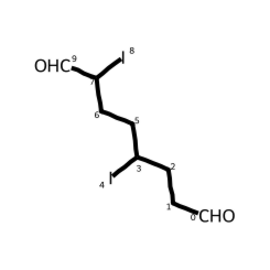 O=CCCC(I)CCC(I)C=O